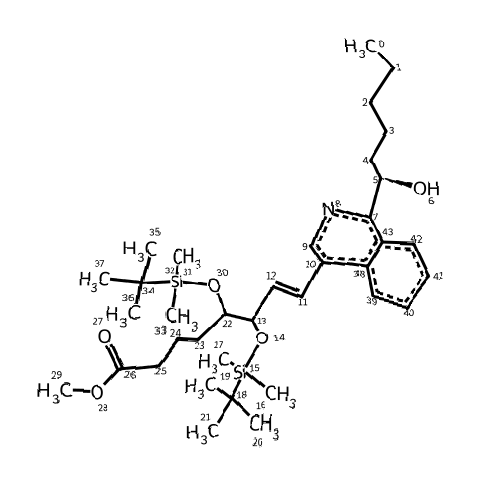 CCCCC[C@@H](O)c1ncc(/C=C/C(O[Si](C)(C)C(C)(C)C)C(CCCC(=O)OC)O[Si](C)(C)C(C)(C)C)c2ccccc12